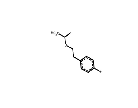 CC(OCCc1ccc(F)cc1)C(=O)O